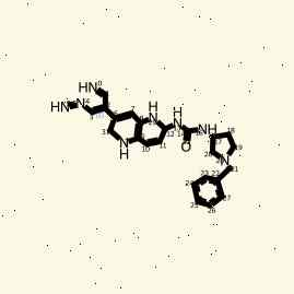 N=C/C(=C\N=N)C1=CC2=C(C=CC(NC(=O)NC3CCN(Cc4ccccc4)C3)N2)NC1